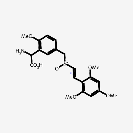 COc1cc(OC)c(/C=C/[S+]([O-])Cc2ccc(OC)c(C(N)C(=O)O)c2)c(OC)c1